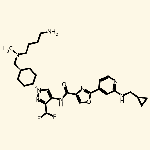 CN(CCCCN)C[C@H]1CC[C@H](n2cc(NC(=O)c3coc(-c4ccnc(NCC5CC5)c4)n3)c(C(F)F)n2)CC1